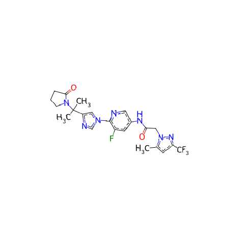 Cc1cc(C(F)(F)F)nn1CC(=O)Nc1cnc(-n2cnc(C(C)(C)N3CCCC3=O)c2)c(F)c1